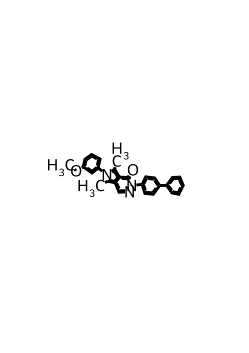 COc1cccc(-n2c(C)c3cnn(-c4ccc(-c5ccccc5)cc4)c(=O)c3c2C)c1